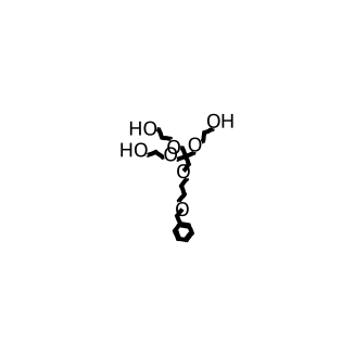 OCCCOCC(COCCCO)(COCCCO)COCCCCOCc1ccccc1